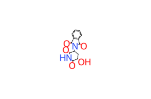 O=C1NC(=O)C(N2C(=O)c3ccccc3C2=O)CC1O